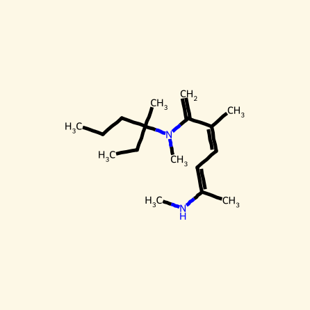 C=C(/C(C)=C\C=C(/C)NC)N(C)C(C)(CC)CCC